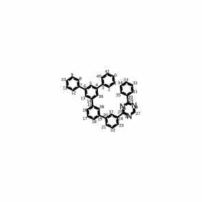 c1ccc(-c2cc(-c3ccccc3)cc(-c3cccc(-c4cccc(-c5ncnc(-c6ccccc6)n5)c4)c3)c2)cc1